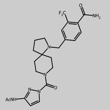 CC(=O)Nc1ccn(C(=O)N2CCC3(CCCN3Cc3ccc(C(N)=O)c(C(F)(F)F)c3)CC2)n1